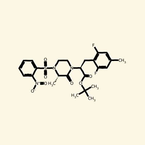 Cc1cc(F)c(C[C@@H](C(=O)OC(C)(C)C)N2CCN(S(=O)(=O)c3ccccc3[N+](=O)[O-])[C@@H](C)C2=O)c(F)c1